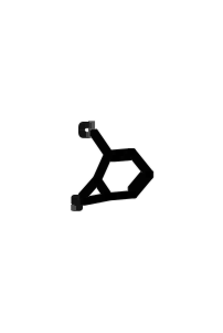 ClC1=CC=CC2SC12